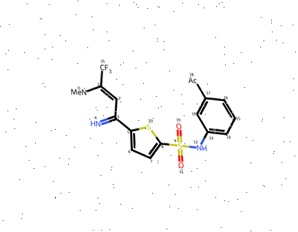 CN/C(=C\C(=N)c1ccc(S(=O)(=O)Nc2cccc(C(C)=O)c2)s1)C(F)(F)F